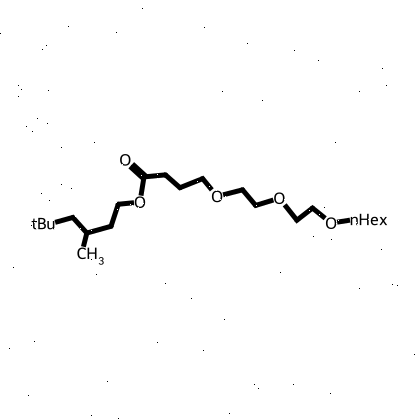 CCCCCCOCCOCCOCCCC(=O)OCCC(C)CC(C)(C)C